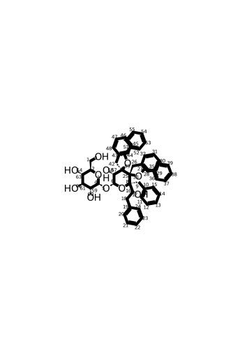 OC[C@H]1O[C@H](O[C@H]2O[C@](Cc3ccccc3)(C(O)Cc3ccccc3)[C@@](Cc3ccccc3)(OCc3ccccc3)[C@](Cc3ccccc3)(OCc3ccccc3)[C@H]2O)[C@H](O)[C@@H](O)[C@@H]1O